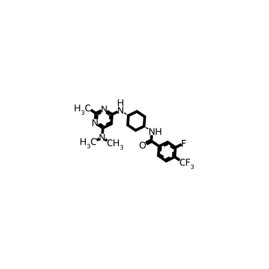 Cc1nc(N[C@H]2CC[C@@H](NC(=O)c3ccc(C(F)(F)F)c(F)c3)CC2)cc(N(C)C)n1